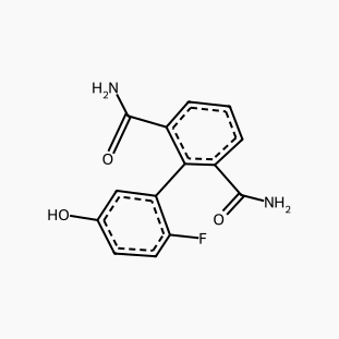 NC(=O)c1cccc(C(N)=O)c1-c1cc(O)ccc1F